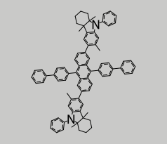 Cc1cc2c(cc1-c1ccc3c(-c4ccc(-c5ccccc5)cc4)c4cc(-c5cc6c(cc5C)N(c5ccccc5)C5(C)CCCCC65C)ccc4c(-c4ccc(-c5ccccc5)cc4)c3c1)C1(C)CCCCC1(C)N2c1ccccc1